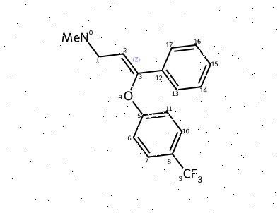 CNC/C=C(\Oc1ccc(C(F)(F)F)cc1)c1ccccc1